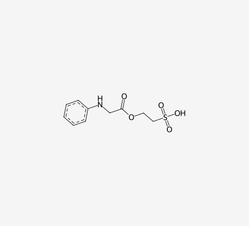 O=C(CNc1ccccc1)OCCS(=O)(=O)O